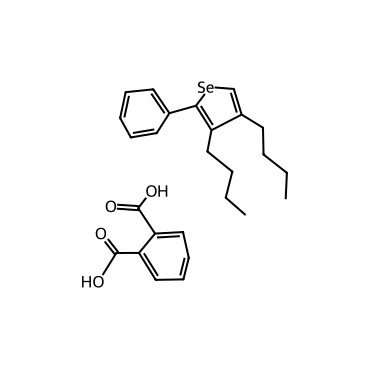 CCCCc1c[se]c(-c2ccccc2)c1CCCC.O=C(O)c1ccccc1C(=O)O